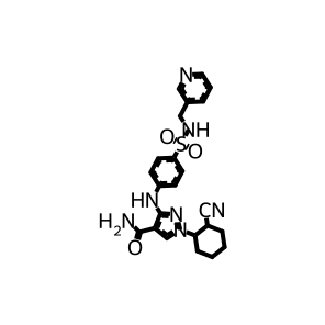 N#CC1CCCCC1n1cc(C(N)=O)c(Nc2ccc(S(=O)(=O)NCc3cccnc3)cc2)n1